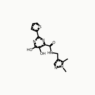 Cc1c(CNC(=O)c2nc(-c3cccs3)nc(O)c2O)cnn1C